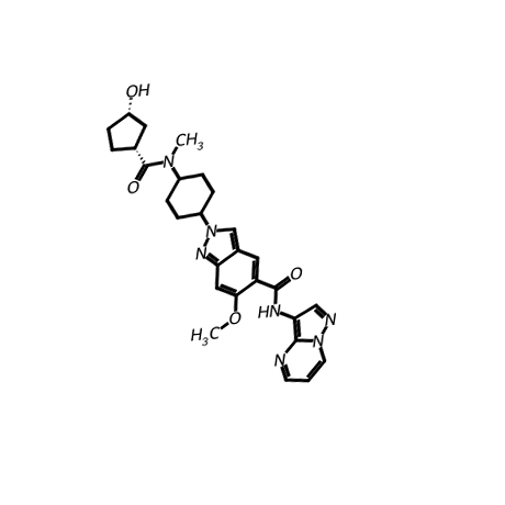 COc1cc2nn(C3CCC(N(C)C(=O)[C@@H]4CC[C@H](O)C4)CC3)cc2cc1C(=O)Nc1cnn2cccnc12